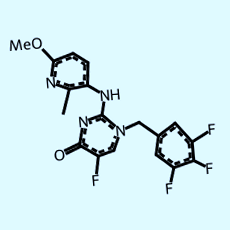 COc1ccc(Nc2nc(=O)c(F)cn2Cc2cc(F)c(F)c(F)c2)c(C)n1